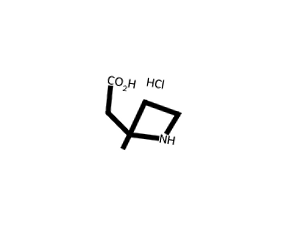 CC1(CC(=O)O)CCN1.Cl